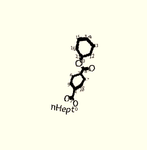 CCCCCCCOC(=O)C1CCC(C(=O)OC2CCCCC2)CC1